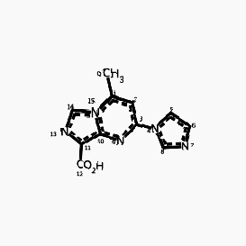 Cc1cc(-n2ccnc2)nc2c(C(=O)O)ncn12